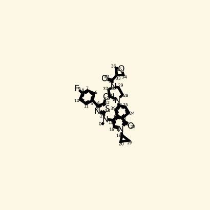 CN(c1nc(-c2ccc(F)cc2)c(C#N)s1)c1cn(C2CC2)c(=O)c2ccc(N3CCN(C(=O)C4COC4)CC3)cc12